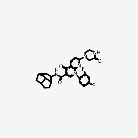 O=C1CN(c2ccc3c(=O)c(C(=O)NC4=C5CCC6CC(C4)CC56)cn(-c4ccc(F)cc4F)c3n2)CCN1